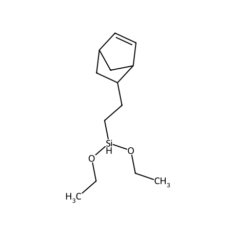 CCO[SiH](CCC1CC2C=CC1C2)OCC